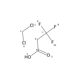 ClCCl.O=C(O)CC(F)(F)F